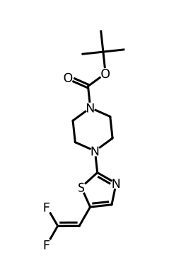 CC(C)(C)OC(=O)N1CCN(c2ncc(C=C(F)F)s2)CC1